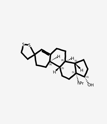 CCC[C@]12CC[C@H]3[C@@H](CCC4=CC5(CCSS5)CC[C@@H]43)[C@@H]1CC[C@@H]2O